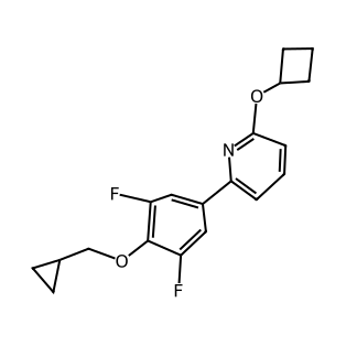 Fc1cc(-c2cccc(OC3CCC3)n2)cc(F)c1OCC1CC1